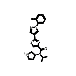 Cc1ccccc1-n1cc(-c2nc(C(=O)N(C(C)C)[C@H]3CCNC3)cs2)cn1